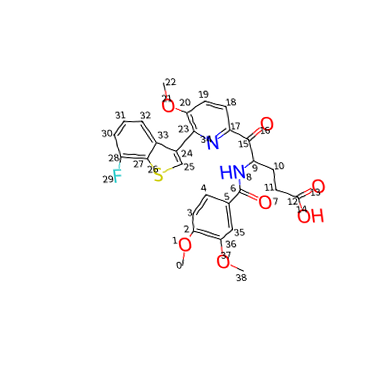 COc1ccc(C(=O)NC(CCC(=O)O)C(=O)c2ccc(OC)c(-c3csc4c(F)cccc34)n2)cc1OC